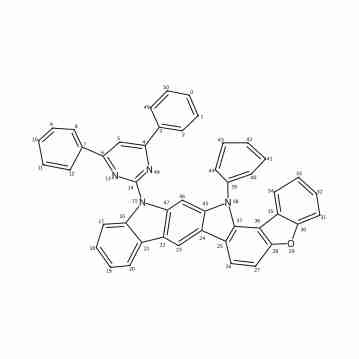 c1ccc(-c2cc(-c3ccccc3)nc(-n3c4ccccc4c4cc5c6ccc7oc8ccccc8c7c6n(-c6ccccc6)c5cc43)n2)cc1